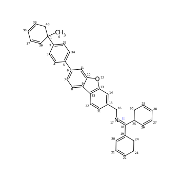 CC1(c2ccc(-c3ccc4c(c3)oc3cc(C/N=C(/C5=CC=CCC5)C5C=CC=CC5)ccc34)cc2)C=CC=CC1